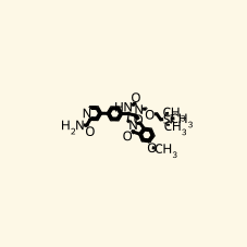 COc1ccc2c(c1)C(=O)N(C[C@@]1(c3ccc(-c4ccnc(C(N)=O)c4)cc3)NC(=O)N(COCC[Si](C)(C)C)C1=O)C2